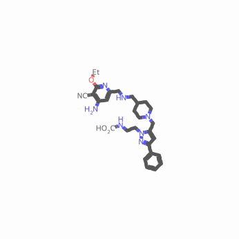 CCOc1nc(CNCC2CCN(Cc3cc(-c4ccccc4)nn3CCNC(=O)O)CC2)cc(N)c1C#N